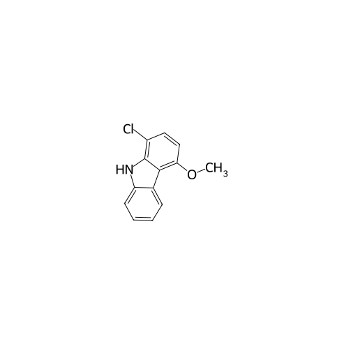 COc1ccc(Cl)c2[nH]c3ccccc3c12